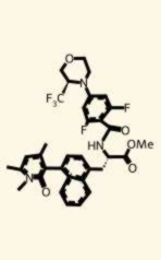 COC(=O)[C@H](Cc1ccc(-c2c(C)cc(C)n(C)c2=O)c2ccccc12)NC(=O)c1c(F)cc(N2CCOC[C@@H]2C(F)(F)F)cc1F